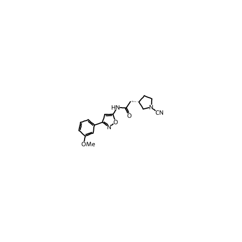 COc1cccc(-c2cc(NC(=O)C[C@@H]3CCN(C#N)C3)on2)c1